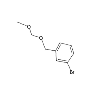 COCOCc1cccc(Br)c1